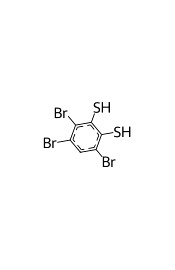 Sc1c(Br)cc(Br)c(Br)c1S